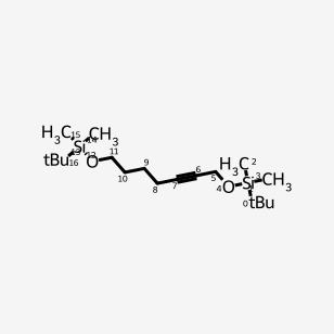 CC(C)(C)[Si](C)(C)OCC#CCCCCO[Si](C)(C)C(C)(C)C